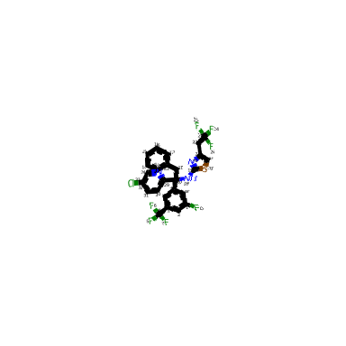 Fc1cc(C(F)(F)F)cc(C(Cc2ccccc2)(Nc2nc(CC(F)(F)F)cs2)c2ccc(Cl)cn2)c1